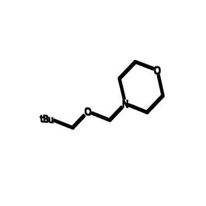 CC(C)(C)COCN1CCOCC1